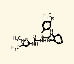 COc1ccc(C[C@@H](NC(=O)Nc2cc(C)n(C)n2)c2nc3ccccc3[nH]2)cc1